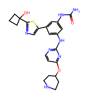 NC(=O)Nc1cc(Nc2nccc(OC3CCNCC3)n2)cc(-c2cnc(C3(O)CCC3)s2)c1